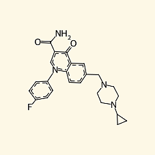 NC(=O)c1cn(-c2ccc(F)cc2)c2ccc(CN3CCN(C4CC4)CC3)cc2c1=O